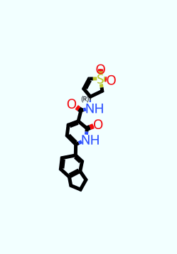 O=C(N[C@@H]1C=CS(=O)(=O)C1)c1ccc(-c2ccc3c(c2)CCC3)[nH]c1=O